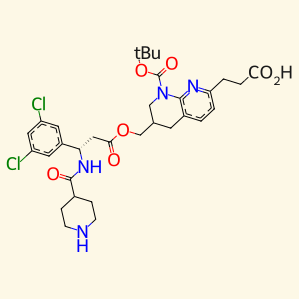 CC(C)(C)OC(=O)N1CC(COC(=O)C[C@H](NC(=O)C2CCNCC2)c2cc(Cl)cc(Cl)c2)Cc2ccc(CCC(=O)O)nc21